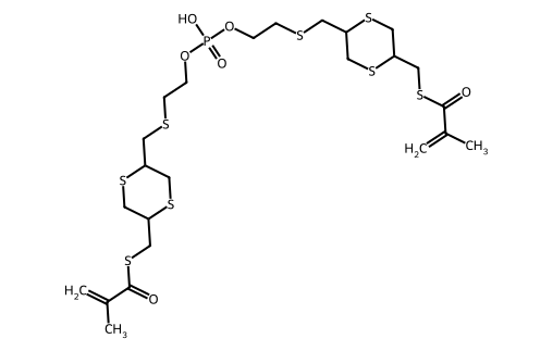 C=C(C)C(=O)SCC1CSC(CSCCOP(=O)(O)OCCSCC2CSC(CSC(=O)C(=C)C)CS2)CS1